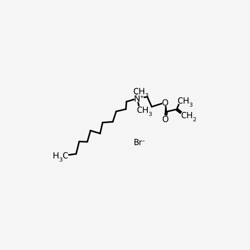 C=C(C)C(=O)OCC[N+](C)(C)CCCCCCCCCCC.[Br-]